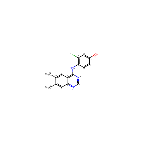 COc1cc2ncnc(Nc3ccc(O)cc3F)c2cc1OC